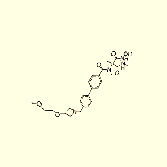 CNC(=O)[C@@](C)(C(=O)NO)N(C)C(=O)c1ccc(-c2ccc(CN3CC(OCCOC)C3)cc2)cc1